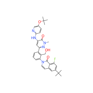 Cn1nc(-c2cccc(-n3ccc4cc(C(C)(C)C)cc(F)c4c3=O)c2CO)cc(Nc2ccc(OC(C)(C)C)cn2)c1=O